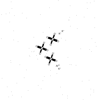 O=S(=O)([O-])[O-].O=S(=O)([O-])[O-].O=S(=O)([O-])[O-].[Al+3].[K+].[K+].[K+]